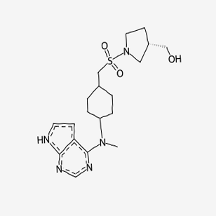 CN(c1ncnc2[nH]ccc12)C1CCC(CS(=O)(=O)N2CC[C@H](CO)C2)CC1